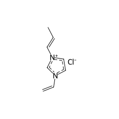 C=Cn1cc[n+](C=CC)c1.[Cl-]